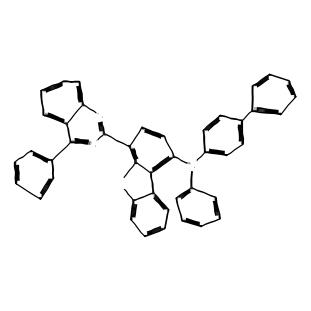 c1ccc(-c2ccc(N(c3ccccc3)c3ccc(-c4nc(-c5ccccc5)c5ccccc5n4)c4oc5ccccc5c34)cc2)cc1